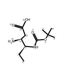 CC[C@H](NC(=O)OC(C)(C)C)[C@@H](N)CC(=O)O